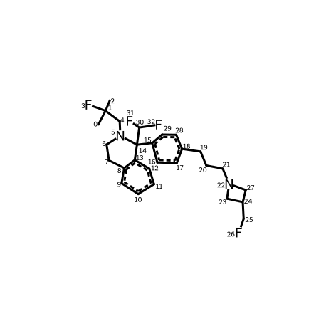 CC(C)(F)CN1CCc2ccccc2C1(c1ccc(CCCN2CC(CF)C2)cc1)C(F)F